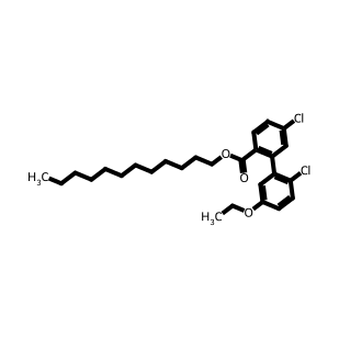 CCCCCCCCCCCCOC(=O)c1c[c]c(Cl)cc1-c1cc(OCC)ccc1Cl